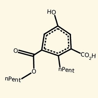 CCCCCOC(=O)c1cc(O)cc(C(=O)O)c1CCCCC